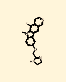 Cn1c2ccc(OCC3=NCCN3)cc2c2cc3cnccc3c(F)c21